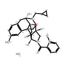 Cl.O=C(c1cccc[n+]1[O-])N1C[C@H]2C[C@@]34CC[C@@H]1[C@@H]2[C@@]31CCN(CC2CC2)[C@@H]4Cc2ccc(O)cc21